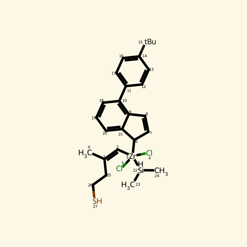 CC(=[CH][Zr]([Cl])([Cl])([CH]1C=Cc2c(-c3ccc(C(C)(C)C)cc3)cccc21)[SiH](C)C)CCS